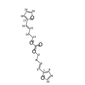 O=C(OCCC=Cc1ccco1)OCCC=Cc1ccco1